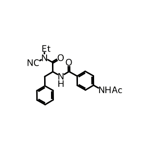 CCN(C#N)C(=O)C(Cc1ccccc1)NC(=O)c1ccc(NC(C)=O)cc1